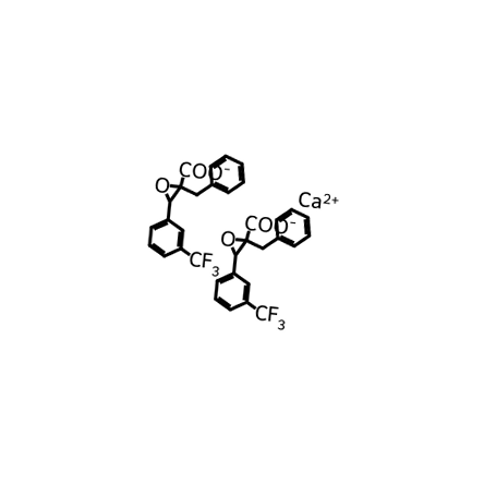 O=C([O-])C1(Cc2ccccc2)OC1c1cccc(C(F)(F)F)c1.O=C([O-])C1(Cc2ccccc2)OC1c1cccc(C(F)(F)F)c1.[Ca+2]